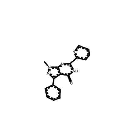 Cn1nc(-c2ccccc2)c2c(=O)[nH]c(-c3ccccn3)nc21